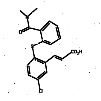 CN(C)C(=O)c1ccccc1Sc1ccc(Cl)cc1C=CC(=O)O